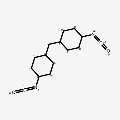 O=C=NC1CCC([CH]C2CCC(N=C=O)CC2)CC1